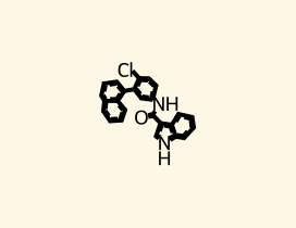 O=C(Nc1ccc(Cl)c(-c2cccc3ccccc23)c1)c1c[nH]c2ccccc12